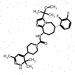 COC(C)(C)c1cnc2n1C[C@H](c1cccc(F)c1F)CC[C@H]2NC(=O)N1CCC(C2=CC(C)=NNC2(C)C)CC1